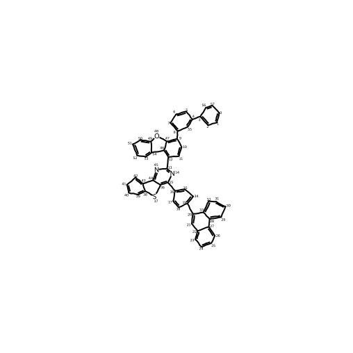 c1ccc(-c2cccc(-c3ccc(-c4nc(-c5ccc(-c6cc7ccccc7c7ccccc67)cc5)c5sc6ccccc6c5n4)c4c3oc3ccccc34)c2)cc1